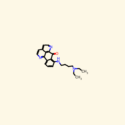 CCN(CC)CCCCNc1cccc2c1C(=O)c1nccc3ccnc-2c13